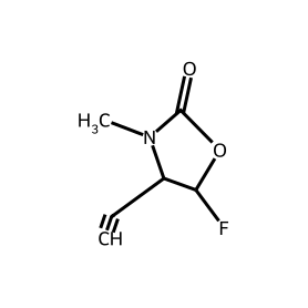 C#CC1C(F)OC(=O)N1C